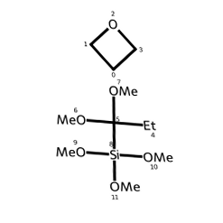 C1COC1.CCC(OC)(OC)[Si](OC)(OC)OC